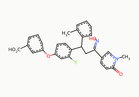 Cc1ccccc1C(C/C(=N\O)c1ccc(=O)n(C)c1)c1ccc(Oc2cccc(C(=O)O)c2)cc1F